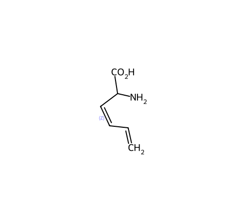 C=C/C=C\C(N)C(=O)O